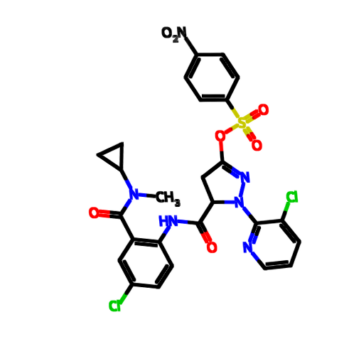 CN(C(=O)c1cc(Cl)ccc1NC(=O)C1CC(OS(=O)(=O)c2ccc([N+](=O)[O-])cc2)=NN1c1ncccc1Cl)C1CC1